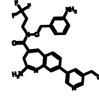 NC1=Nc2cc(-c3cncc(CO)c3)ccc2C=C(C(=O)N(CCC(F)(F)F)OCc2cccc(N)c2)C1